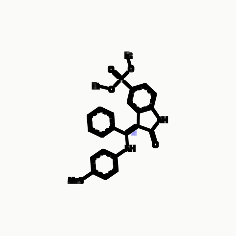 CCOP(=O)(OCC)c1ccc2c(c1)/C(=C(/Nc1ccc(SC)cc1)c1ccccc1)C(=O)N2